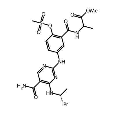 COC(=O)C(C)NC(=O)c1cc(Nc2ncc(C(N)=O)c(N[C@H](C)C(C)C)n2)ccc1OS(C)(=O)=O